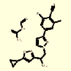 CC(Cn1ccc(-c2cc(F)c(C#N)c(Cl)c2)n1)c1cc(C2CC2)on1.NC(=O)NC=O